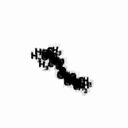 Cc1cc(C(=O)OCCOC(=O)c2ccc(OC(=O)c3cc(C)c(O)c(C)c3)c(C)c2)ccc1OC(=O)c1cc(C)c(O)c(C)c1